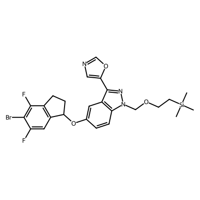 C[Si](C)(C)CCOCn1nc(-c2cnco2)c2cc(OC3CCc4c3cc(F)c(Br)c4F)ccc21